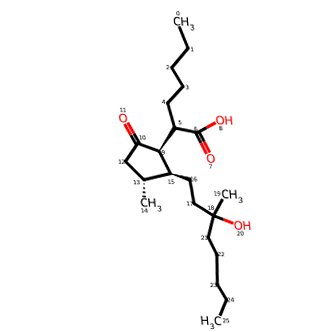 CCCCCC(C(=O)O)[C@@H]1C(=O)C[C@@H](C)[C@@H]1CCC(C)(O)CCCCC